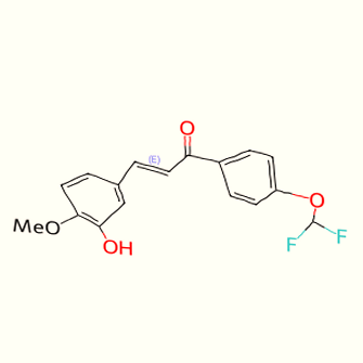 COc1ccc(/C=C/C(=O)c2ccc(OC(F)F)cc2)cc1O